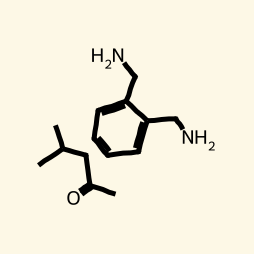 CC(=O)CC(C)C.NCc1ccccc1CN